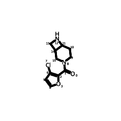 O=C(c1occc1Cl)N1CCC2NCC2C1